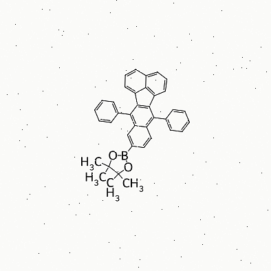 CC1(C)OB(c2ccc3c(-c4ccccc4)c4c(c(-c5ccccc5)c3c2)-c2cccc3cccc-4c23)OC1(C)C